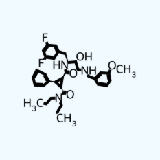 CCCN(CCC)C(=O)[C@H]1[C@H](C(=O)N[C@@H](Cc2cc(F)cc(F)c2)[C@H](O)CNCc2cccc(OC)c2)[C@@H]1c1ccccc1